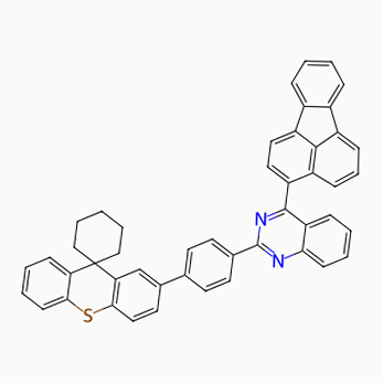 c1ccc2c(c1)Sc1ccc(-c3ccc(-c4nc(-c5ccc6c7c(cccc57)-c5ccccc5-6)c5ccccc5n4)cc3)cc1C21CCCCC1